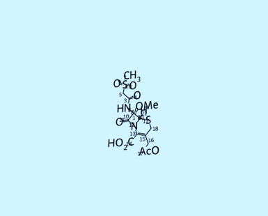 CO[C@@]1(NC(=O)CS(C)(=O)=O)C(=O)N2C(C(=O)O)=C(COC(C)=O)CS[C@H]21